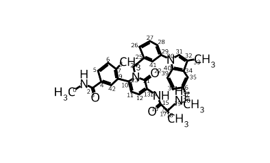 CNC(=O)c1ccc(C)c(-c2ccc(NC(=O)[C@H](C)NC)c(=O)n2Cc2cccc(-n3cc(C)c4cc(F)ccc43)c2)c1